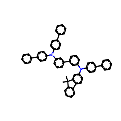 CC1(C)c2ccccc2-c2ccc(N(c3ccc(-c4ccccc4)cc3)c3cccc(-c4cccc(N(c5ccc(-c6ccccc6)cc5)c5ccc(-c6ccccc6)cc5)c4)c3)cc21